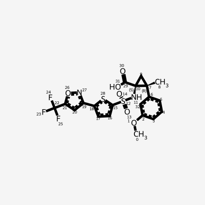 COc1cccc([C@@]2(C)C[C@@]2(NS(=O)(=O)c2ccc(-c3cc(C(F)(F)F)on3)s2)C(=O)O)c1